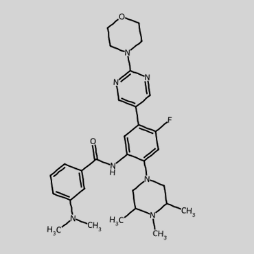 CC1CN(c2cc(F)c(-c3cnc(N4CCOCC4)nc3)cc2NC(=O)c2cccc(N(C)C)c2)CC(C)N1C